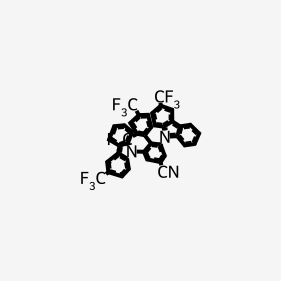 N#Cc1cc(-n2c3ccccc3c3cc(C(F)(F)F)ccc32)c(-c2ccc(C(F)(F)F)cc2C(F)(F)F)c(-n2c3ccccc3c3cc(C(F)(F)F)ccc32)c1